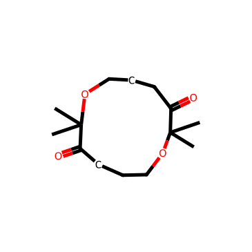 CC1(C)OCCCC(=O)C(C)(C)OCCCC1=O